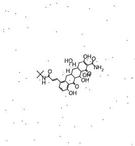 C[C@H]1c2c(/C=C/C(=O)NC(C)(C)C)ccc(O)c2C(=O)C2C(O)[C@]3(O)C(=O)C(C(N)=O)=C(O)C[C@@H]3[C@@H](CO)[C@@H]21